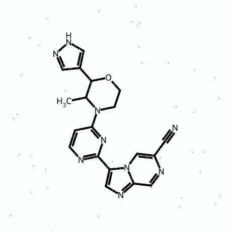 CC1C(c2cn[nH]c2)OCCN1c1ccnc(-c2cnc3cnc(C#N)cn23)n1